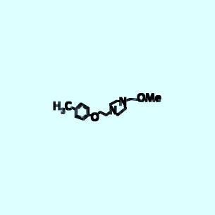 COCCN1CCN(CCOc2ccc(C)cc2)CC1